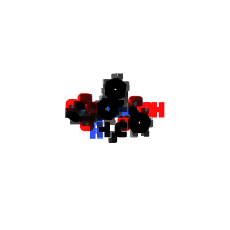 COc1cccc(O)c1C(=O)NCC1(c2ccccc2)CCC(NS(=O)(=O)N2CCOC2=O)CC1